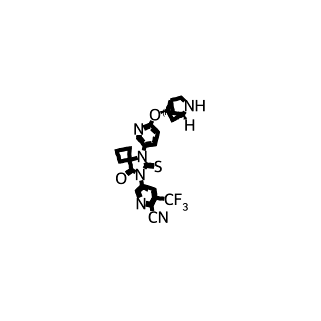 N#Cc1ncc(N2C(=O)C3(CCC3)N(c3ccc(O[C@@H]4C[C@@H]5CC4CN5)nc3)C2=S)cc1C(F)(F)F